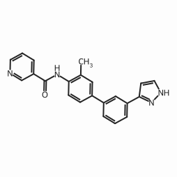 Cc1cc(-c2cccc(-c3cc[nH]n3)c2)ccc1NC(=O)c1cccnc1